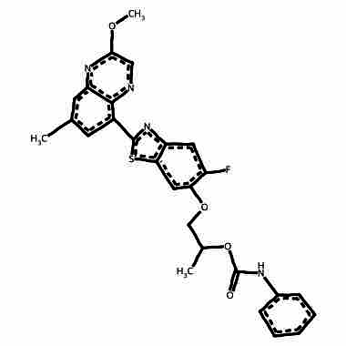 COc1cnc2c(-c3nc4cc(F)c(OCC(C)OC(=O)Nc5ccccc5)cc4s3)cc(C)cc2n1